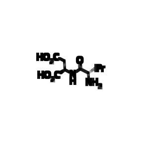 CC(C)[C@H](N)C(=O)N[C@H](CC(=O)O)C(=O)O